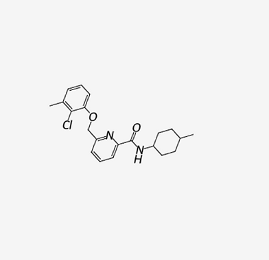 Cc1cccc(OCc2cccc(C(=O)NC3CCC(C)CC3)n2)c1Cl